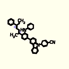 C=C/C(=C\C=C(/C)c1ccc(-c2ccc3c(c2)c2ccccc2n3C2C=CC(C#N)=CC2)cc1NC1=CCCC=C1)c1ccccc1